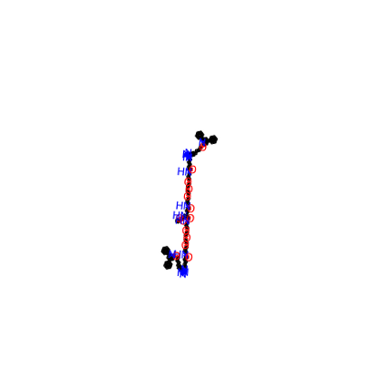 CC(C)(C)OC(=O)N[C@@H](CCC(=O)NCCCOCCOCCOCCCNC(=O)CCCCn1nnnc1C(C)(C)CCCCOc1cc(-c2ccccc2)cc(-c2ccccc2)n1)C(=O)NCCCOCCOCCOCCCNC(=O)CCCCn1nnnc1C(C)(C)CCCCOc1cc(-c2ccccc2)cc(-c2ccccc2)n1